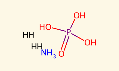 N.O=P(O)(O)O.[HH].[HH]